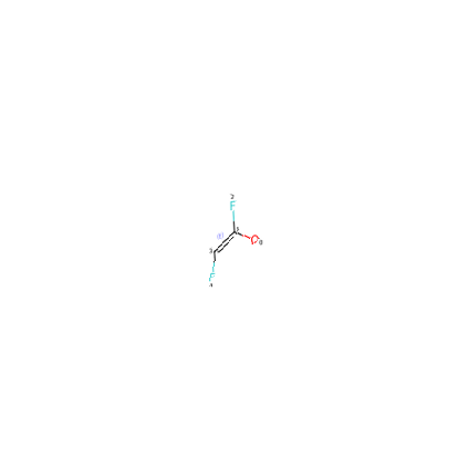 [O]/C(F)=[C]\F